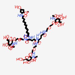 CO[C@@H]1C[C@@H](O)C[C@H]1NC(=O)CCCCCCCCCCC(=O)NC(CCC(=O)NC(CCC(=O)NCCOCCOC1OC(CO)C(O)C(O)C1NC(C)=O)C(=O)NCCOCCOC1O[C@H](CO)C(O)C(O)C1NC(C)=O)C(=O)NCCOCCOC1OC(CO)C(O)C(O)C1NC(C)=O